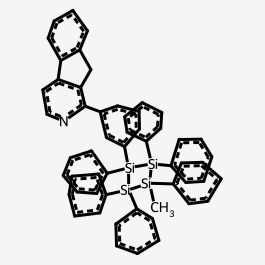 C[Si]1(c2ccccc2)[Si](c2ccccc2)(c2ccccc2)[Si](c2ccccc2)(c2cccc(-c3nccc4c3Cc3ccccc3-4)c2)[Si]1(c1ccccc1)c1ccccc1